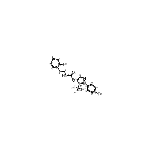 O=C(NCCc1ccccc1F)Oc1cnn(-c2ccc(F)cc2)c1C(F)(F)F